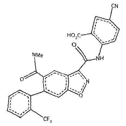 CNC(=O)c1cc2c(C(=O)Nc3ccc(C#N)cc3C(=O)O)noc2cc1-c1ccccc1C(F)(F)F